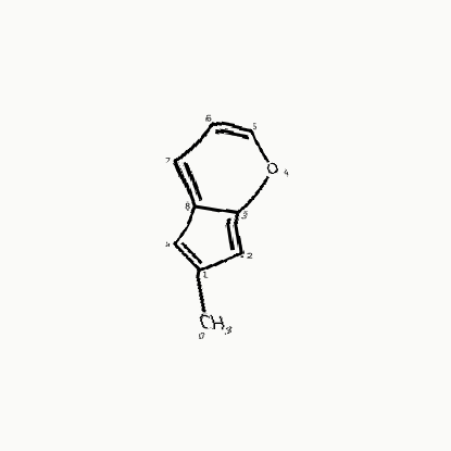 Cc1[c]c2occcc-2c1